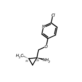 C[C@H]1C[C@@]1(N)COc1ccc(Cl)nc1